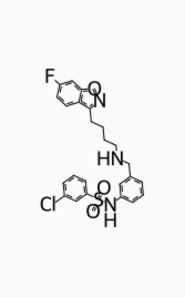 O=S(=O)(Nc1cccc(CNCCCCc2noc3cc(F)ccc23)c1)c1cccc(Cl)c1